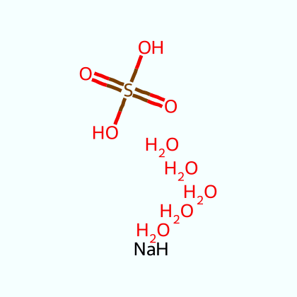 O.O.O.O.O.O=S(=O)(O)O.[NaH]